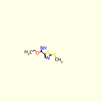 CCOC(=N)c1cnc(SC)s1